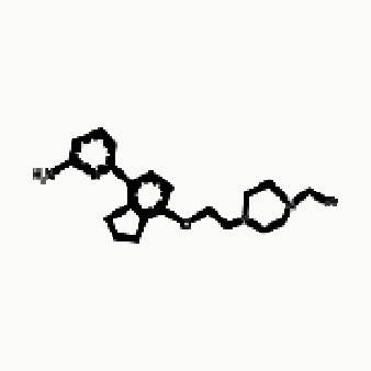 CC(C)CN1CCN(CCOc2ccc(-c3cccc(N)n3)c3c2CCC3)CC1